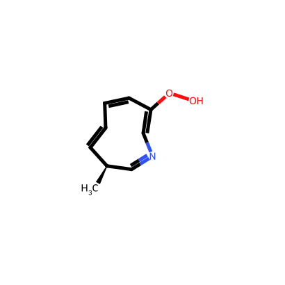 C[C@@H]1\C=N/C=C(OO)/C=C\C=C\1